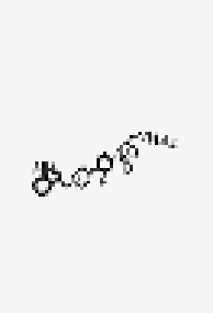 CC(=O)NCC1CN(c2ccc(C3CCN(Cc4c[nH]c5ccccc45)CC3)c(F)c2)C(=O)O1